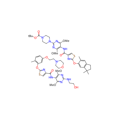 COc1nc(N2CCN(C(=O)OC(C)(C)C)CC2)nc(OC)c1NC(=O)c1csc(Oc2cc3c(cc2C)CCC3(C)C)n1.COc1nc(NCCO)nc(OC)c1NC(=O)c1csc(Oc2cc(OCCN3CCOCC3)ccc2C)n1